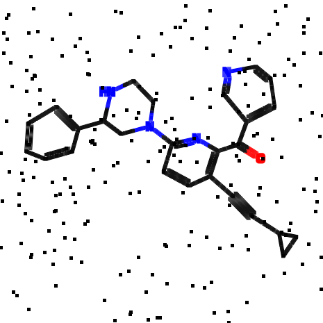 O=C(c1cccnc1)c1nc(N2CCNC(c3ccccc3)C2)ccc1C#CC1CC1